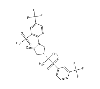 CC(C)([C@@H]1CC(=O)N(c2ncc(C(F)(F)F)cc2S(C)(=O)=O)C1)S(=O)(=O)c1cccc(C(F)(F)F)c1